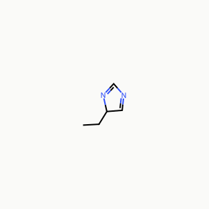 CCC1C=NC=N1